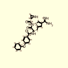 N=C(N)c1csc(C[C@H](NC(=O)c2ccc(Oc3ccccc3)cc2)C(=O)NC(=O)[C@@H]2CN2)c1